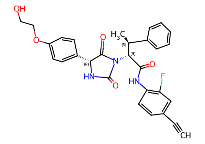 C#Cc1ccc(NC(=O)[C@@H]([C@@H](C)c2ccccc2)N2C(=O)N[C@H](c3ccc(OCCO)cc3)C2=O)c(F)c1